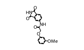 COc1cccc(OCC(=O)Nc2ccc3c(c2)C(=O)NC3=O)c1